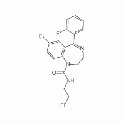 O=C(NCCCl)N1CCN=C(c2ccccc2F)c2cc(Cl)ccc21